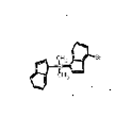 C[Si](C)(C1C=Cc2ccccc21)C1C=Cc2c(Br)cccc21